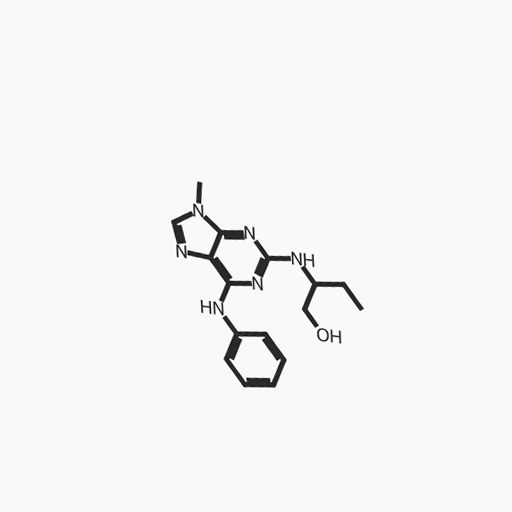 CCC(CO)Nc1nc(Nc2ccccc2)c2ncn(C)c2n1